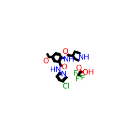 CC(=O)c1ccc(NC(=O)C2CCNCC2)c(C(=O)Nc2ccc(Cl)cn2)c1.O=C(O)C(F)(F)F